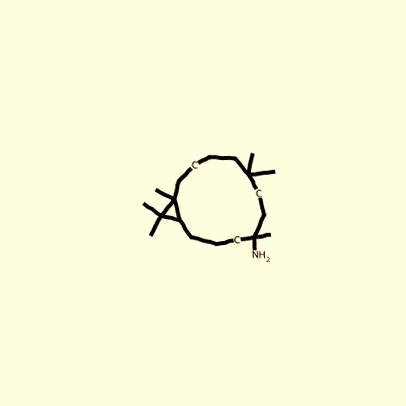 CC1(C)CCCCC2(C)C(CCCC(C)(N)CC1)C2(C)C